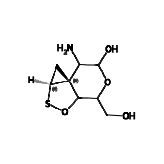 NC1C(O)OC(CO)C2OS[C@H]3C[C@@]123